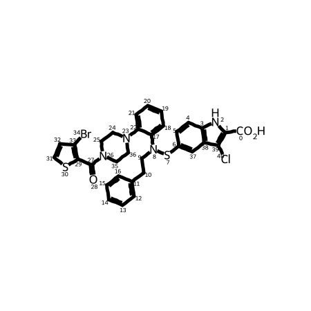 O=C(O)c1[nH]c2ccc(SN(CCc3ccccc3)c3ccccc3N3CCN(C(=O)c4sccc4Br)CC3)cc2c1Cl